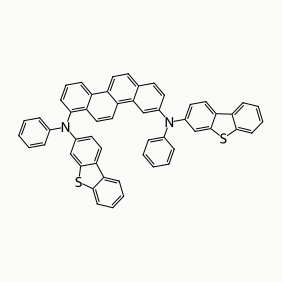 c1ccc(N(c2ccc3c(c2)sc2ccccc23)c2ccc3ccc4c5cccc(N(c6ccccc6)c6ccc7c(c6)sc6ccccc67)c5ccc4c3c2)cc1